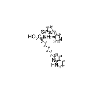 O=C(O)[C@H](CCCCCCCc1ccc2c(n1)NCCC2)NC(=O)[C@@H]1CCCN1Cc1ccncc1